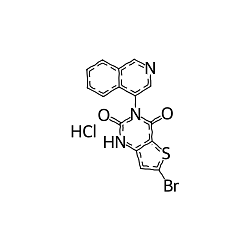 Cl.O=c1[nH]c2cc(Br)sc2c(=O)n1-c1cncc2ccccc12